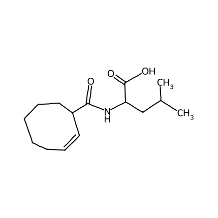 CC(C)CC(NC(=O)C1C=CCCCCC1)C(=O)O